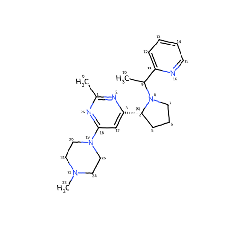 Cc1nc([C@H]2CCCN2C(C)c2ccccn2)cc(N2CCN(C)CC2)n1